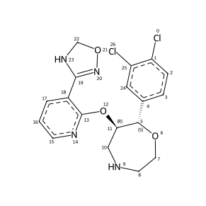 Clc1ccc([C@@H]2OCCNC[C@H]2Oc2ncccc2C2=NOCN2)cc1Cl